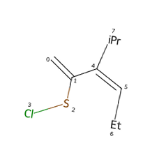 C=C(SCl)/C(=C\CC)C(C)C